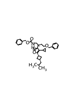 CC(C)C[C@H]1C[C@@H](c2onc([C@H](CCOCc3ccccc3)CNC(=O)OCc3ccccc3)c2C2CC2)C1